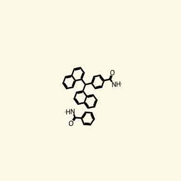 [NH]C(=O)c1ccc(C(c2cccc3ccccc23)c2cccc3ccccc23)cc1.[NH]C(=O)c1ccccc1